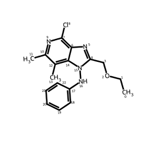 CCOCc1nc2c(Cl)nc(C)c(C)c2n1Nc1ccccc1